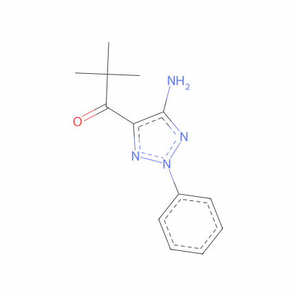 CC(C)(C)C(=O)c1nn(-c2ccccc2)nc1N